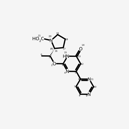 CC(Oc1nc(-c2ccncn2)cc(=O)[nH]1)[C@H]1CCCN1C(=O)O